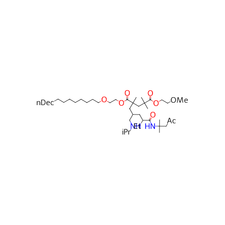 CCCCCCCCCCCCCCCCCCOCCOC(=O)C(C)(CC(CNC(C)C)CC(CC)C(=O)NC(C)(C)CC(C)=O)CC(C)(C)C(=O)OCCOC